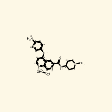 CN1CCC(NC(=O)c2cc3c(Oc4ccc(N)nc4)ccnc3cn2)CC1.O=CO